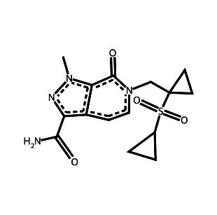 Cn1nc(C(N)=O)c2ccn(CC3(S(=O)(=O)C4CC4)CC3)c(=O)c21